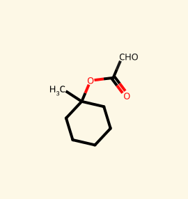 CC1(OC(=O)C=O)CCCCC1